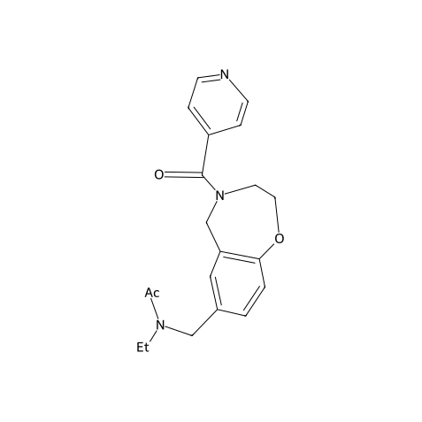 CCN(Cc1ccc2c(c1)CN(C(=O)c1ccncc1)CCO2)C(C)=O